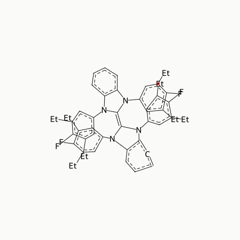 CCc1cc(N2C(=C3N(c4cc(CC)c(F)c(CC)c4)c4ccccc4N3c3cc(CC)c(F)c(CC)c3)N(c3cc(CC)c(F)c(CC)c3)c3ccccc32)cc(CC)c1F